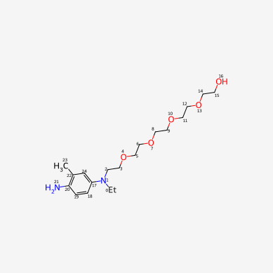 CCN(CCOCCOCCOCCOCCO)c1ccc(N)c(C)c1